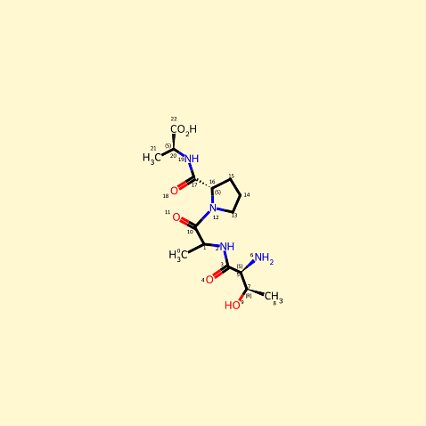 CC(NC(=O)[C@@H](N)[C@@H](C)O)C(=O)N1CCC[C@H]1C(=O)N[C@@H](C)C(=O)O